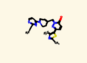 Cc1nccc(N2CCC(Cn3nc(-c4sc(C)nc4C)ccc3=O)CC2)n1